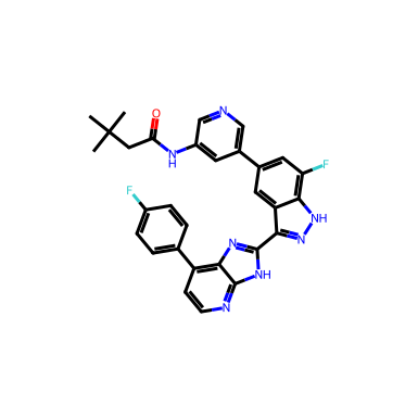 CC(C)(C)CC(=O)Nc1cncc(-c2cc(F)c3[nH]nc(-c4nc5c(-c6ccc(F)cc6)ccnc5[nH]4)c3c2)c1